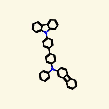 c1ccc(N(c2ccc(-c3ccc(-n4c5ccccc5c5ccccc54)cc3)cc2)c2ccc3c(c2)=c2ccccc2=3)cc1